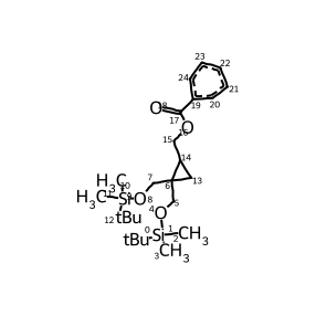 CC(C)(C)[Si](C)(C)OCC1(CO[Si](C)(C)C(C)(C)C)CC1COC(=O)c1ccccc1